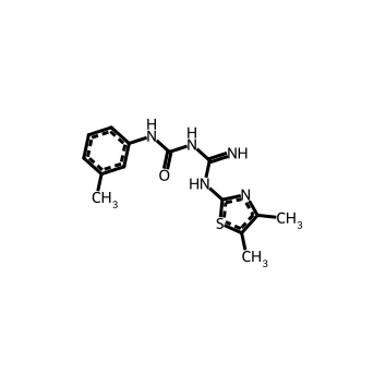 Cc1cccc(NC(=O)NC(=N)Nc2nc(C)c(C)s2)c1